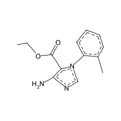 CCOC(=O)c1c(N)ncn1-c1ccccc1C